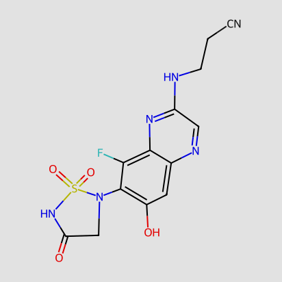 N#CCCNc1cnc2cc(O)c(N3CC(=O)NS3(=O)=O)c(F)c2n1